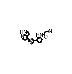 N#CCC(=O)Nc1cccc(-c2cnn(-c3ccnc4[nH]ccc34)c2)c1